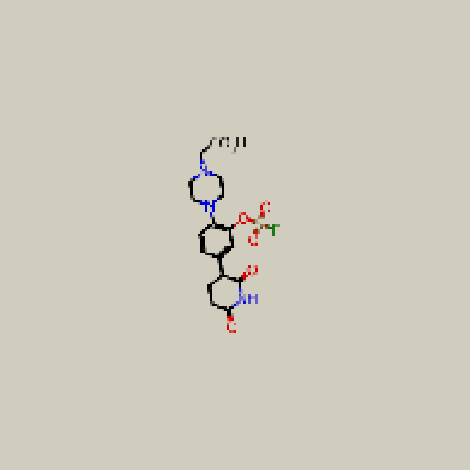 O=C(O)CN1CCN(c2ccc(C3CCC(=O)NC3=O)cc2OS(=O)(=O)F)CC1